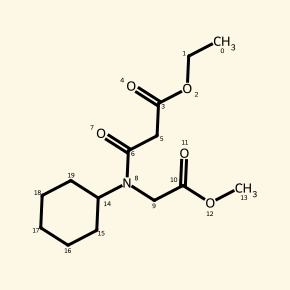 CCOC(=O)CC(=O)N(CC(=O)OC)C1CCCCC1